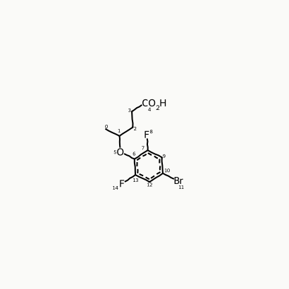 CC(CCC(=O)O)Oc1c(F)cc(Br)cc1F